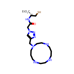 CCOC(=O)[C@H](CS)NC(=O)Cn1cc(CN2CCCNCCNCCCNCC2)nn1